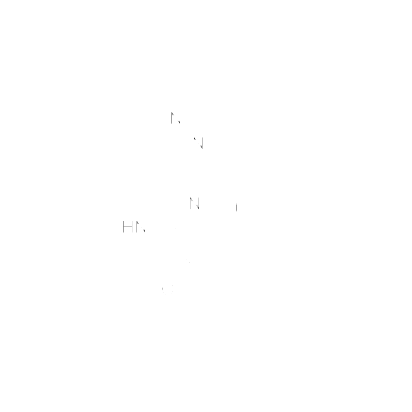 CCN(C(=N)C(=O)c1ccccc1)c1ccnn1C